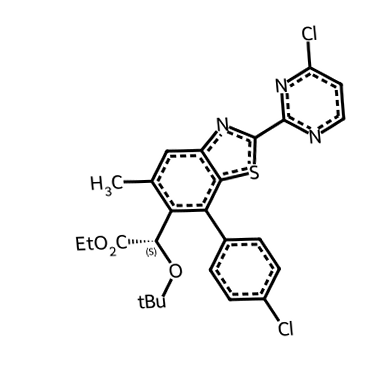 CCOC(=O)[C@@H](OC(C)(C)C)c1c(C)cc2nc(-c3nccc(Cl)n3)sc2c1-c1ccc(Cl)cc1